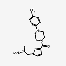 CN[C@@H](C)Cn1ccc(C(=O)N2CCN(c3ncc(C(F)(F)F)cn3)CC2)n1